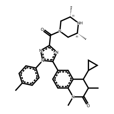 Cc1ccc(-n2nc(C(=O)N3C[C@@H](C)N[C@@H](C)C3)nc2-c2ccc3c(c2)C(C2CC2)C(C)C(=O)N3C)cc1